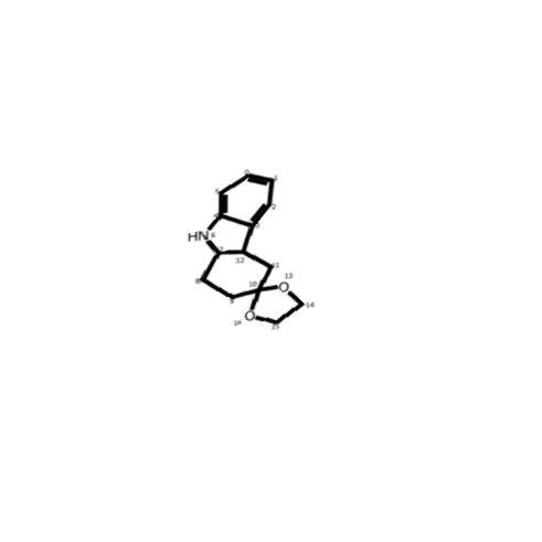 c1ccc2c(c1)NC1CCC3(CC21)OCCO3